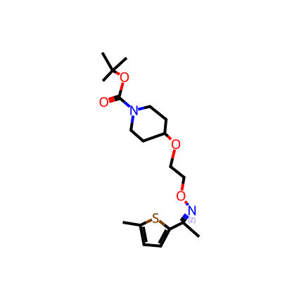 C/C(=N/OCCOC1CCN(C(=O)OC(C)(C)C)CC1)c1ccc(C)s1